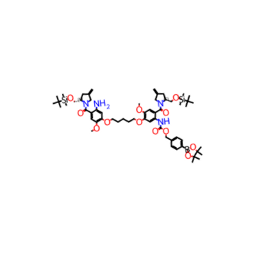 C=C1C[C@@H](CO[Si](C)(C)C(C)(C)C)N(C(=O)c2cc(OC)c(OCCCCCOc3cc(NC(=O)OCc4ccc(B5OC(C)(C)C(C)(C)O5)cc4)c(C(=O)N4CC(=C)C[C@H]4CO[Si](C)(C)C(C)(C)C)cc3OC)cc2N)C1